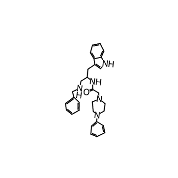 O=C(CN1CCN(c2ccccc2)CC1)NC(CNCc1ccccc1)Cc1c[nH]c2ccccc12